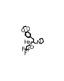 O=C(CC(F)(F)F)NC(Cc1ccc2c(c1)OCCO2)CN1CCCC1